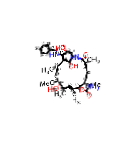 CO[C@H]1/C=C\C=C(/C)C(=O)Nc2cc(O)c(NCc3ccccc3)c(c2O)C[C@@H](C)C[C@H](OC)[C@H](O)[C@@H](C)/C=C(\C)[C@@H]1OC(N)=O